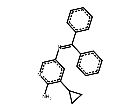 Nc1ncc(N=C(c2ccccc2)c2ccccc2)cc1C1CC1